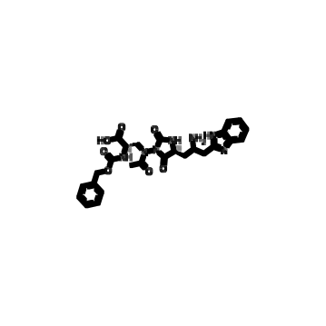 CC(=O)N(C[C@H](NC(=O)OCc1ccccc1)C(=O)O)N1C(=O)N[C@@H](CC(N)Cc2nc3ccccc3[nH]2)C1=O